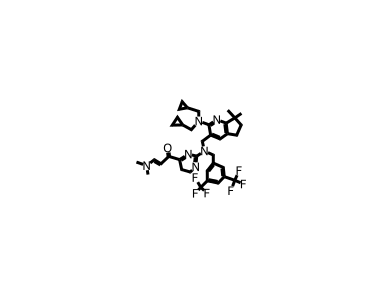 CN(C)/C=C/C(=O)C1=NC(N(Cc2cc(C(F)(F)F)cc(C(F)(F)F)c2)Cc2cc3c(nc2N(CC2CC2)CC2CC2)C(C)(C)CC3)=NCC1